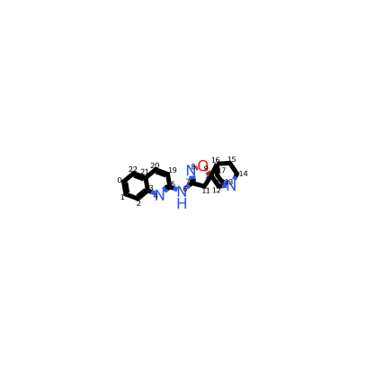 c1ccc2nc(NC3=NOC4(C3)CN3CCC4CC3)ccc2c1